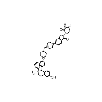 C[C@@]1(c2ccccc2)CCc2cc(O)ccc2[C@H]1c1ccc(N2CCC(CN3CCN(c4ccc5c(c4)CN([C@H]4CCC(=O)NC4=O)C5=O)CC3)CC2)cc1